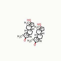 C[C@@H]1C[C@@]2(C)[C@@H](CC[C@@H]3[C@@H]2CC[C@]2(C)[C@@H](O)CC[C@@H]32)CC1=O.C[C@@H]1C[C@@]2(C)[C@@H](CC[C@@H]3[C@@H]2CC[C@]2(C)[C@@H](O)CC[C@@H]32)CC1=O